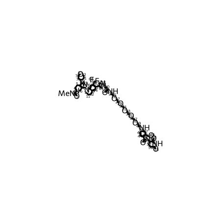 CNC(=O)N1CCc2c(c(N3CCCc4cc(-c5cnn(CC(=O)NCCOCCOCCOCCOCCOCCNc6ccc7c(c6)C(=O)N(C6CCC(=O)NC6=O)C7=O)c5)c(C(F)F)cc43)nn2C2CCOCC2)C1